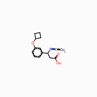 C=C=NC(CC(=O)O)c1cccc(OC2CCC2)c1